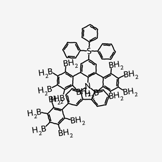 Bc1c(B)c(B)c(-c2ccc3c(c2)c2ccccc2n3-c2c(-c3c(B)c(B)c(B)c(B)c3B)cc(S(c3ccccc3)(c3ccccc3)c3ccccc3)cc2-c2c(B)c(B)c(B)c(B)c2B)c(B)c1B